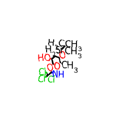 C[C@@H]1O[C@@H](OC(=N)C(Cl)(Cl)Cl)[C@H](O)C[C@H]1O[SiH2]C(C)(C)C